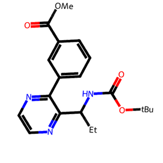 CCC(NC(=O)OC(C)(C)C)c1nccnc1-c1cccc(C(=O)OC)c1